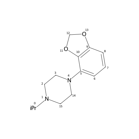 CC(C)N1CCN(c2cccc3c2OCO3)CC1